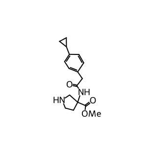 COC(=O)C1(NC(=O)Cc2ccc(C3CC3)cc2)CCNC1